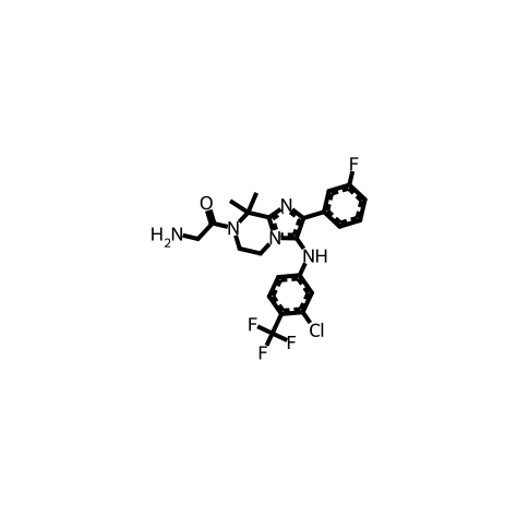 CC1(C)c2nc(-c3cccc(F)c3)c(Nc3ccc(C(F)(F)F)c(Cl)c3)n2CCN1C(=O)CN